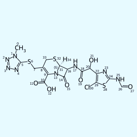 Cn1nnnc1SCC1=C(C(=O)O)N2C(=O)C(NC(=O)C(O)c3nc(NC=O)sc3Cl)[C@@H]2SC1